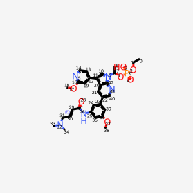 CCOP(=O)(O)OC(C)n1cc(-c2ccnc(OC)c2)c2cc(-c3cc(NC(=O)/C=C/CN(C)C)cc(OC)c3)cnc21